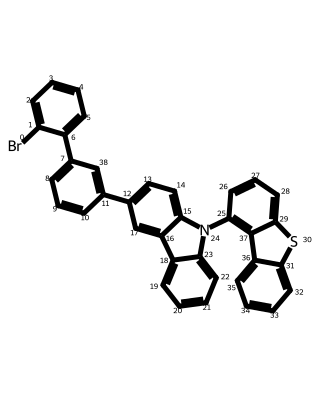 Brc1ccccc1-c1cccc(-c2ccc3c(c2)c2ccccc2n3-c2cccc3sc4ccccc4c23)c1